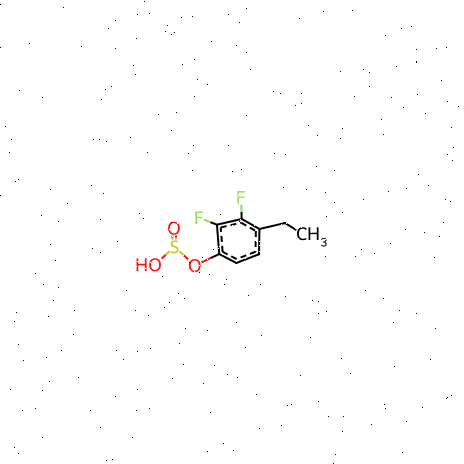 CCc1ccc(OS(=O)O)c(F)c1F